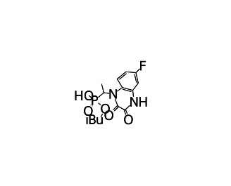 CCC(C)OP(=O)(O)C(C)n1c(=O)c(=O)[nH]c2cc(F)ccc21